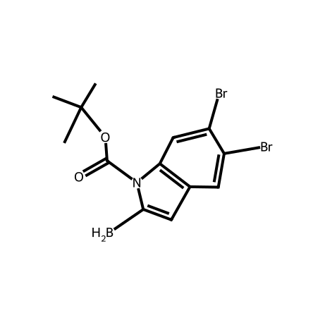 Bc1cc2cc(Br)c(Br)cc2n1C(=O)OC(C)(C)C